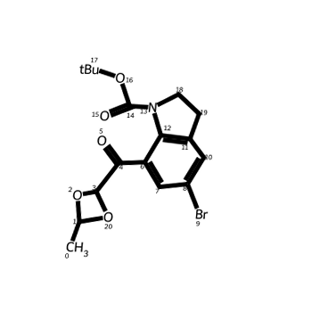 CC1OC(C(=O)c2cc(Br)cc3c2N(C(=O)OC(C)(C)C)CC3)O1